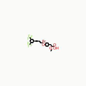 CCOC(Cc1ccc(OCC=CC#Cc2cc(C(F)(F)F)cc(C(F)(F)F)c2)c(Br)c1)C(=O)O